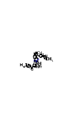 CCCc1cc(C(=O)N2CCN(C)CC2)ccc1NC1=C/C=C/C2=C(/C=N\1)CCc1nn(C)c(-c3ccc(-c4cnn(C)c4)cc3)c12